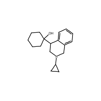 OC1(C2CN(C3CC3)Cc3ccccc32)CCCCC1